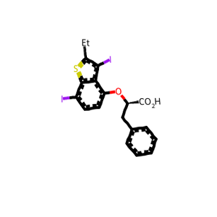 CCc1sc2c(I)ccc(O[C@H](Cc3ccccc3)C(=O)O)c2c1I